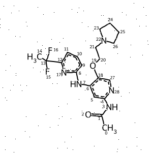 CC(=O)Nc1cc(Nc2cccc(C(C)(F)F)n2)c(OCCN2CCCC2)cn1